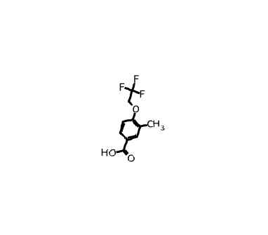 Cc1cc(C(=O)O)ccc1OCC(F)(F)F